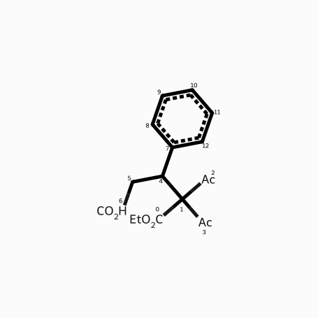 CCOC(=O)C(C(C)=O)(C(C)=O)C(CC(=O)O)c1ccccc1